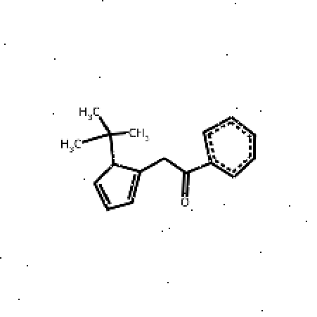 CC(C)(C)C1C=CC=C1CC(=O)c1ccccc1